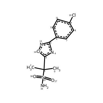 CC(C)(c1nc(-c2ccc(Cl)cc2)no1)S(N)(=O)=O